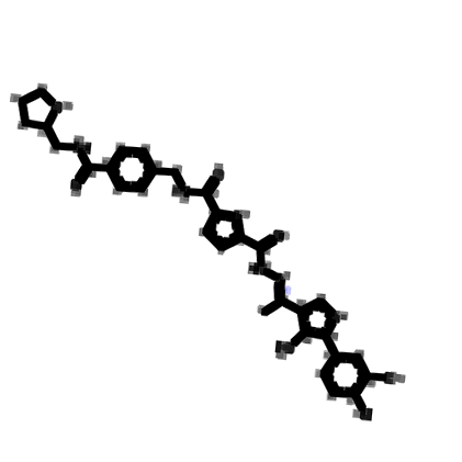 C/C(=N\NC(=O)c1ccc(C(=O)NCc2ccc(C(=O)NCC3CCCO3)cc2)s1)c1csc(-c2ccc(Cl)c(Cl)c2)c1O